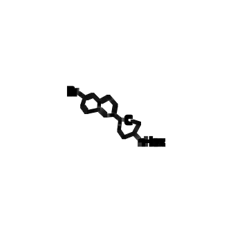 CCCCCCC1CCC(c2ccc3cc(Br)ccc3c2)CC1